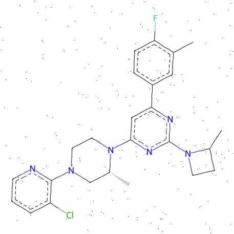 Cc1cc(-c2cc(N3CCN(c4ncccc4Cl)C[C@H]3C)nc(N3CCC3C)n2)ccc1F